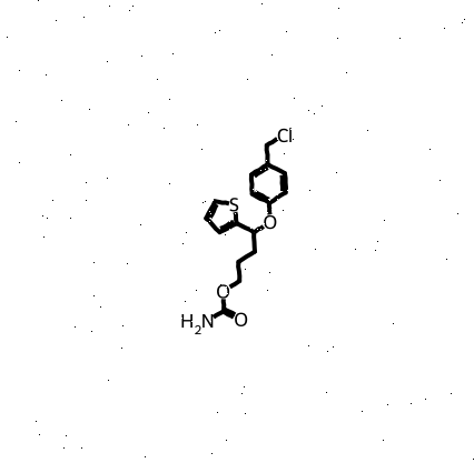 NC(=O)OCCCC(Oc1ccc(CCl)cc1)c1cccs1